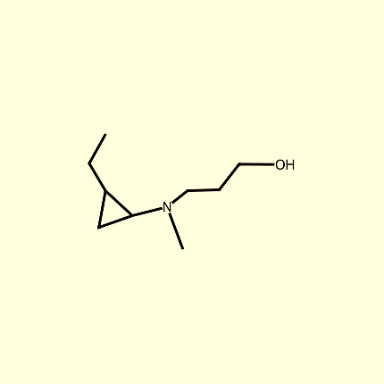 CCC1CC1N(C)CCCO